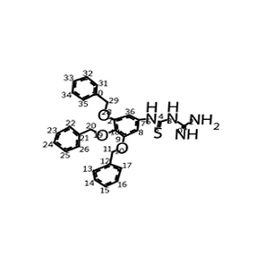 N=C(N)NC(=S)Nc1cc(OCc2ccccc2)c(OCc2ccccc2)c(OCc2ccccc2)c1